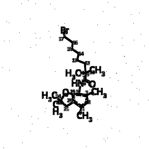 Cc1cc(C)c(NC(=O)C(C)(C)CCCCCCBr)c2c1CC(C)(C)O2